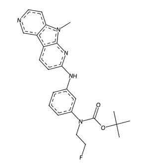 Cn1c2ccncc2c2ccc(Nc3cccc(N(CCF)C(=O)OC(C)(C)C)c3)nc21